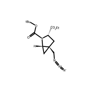 CCOC(=O)[C@@H]1C[C@]2(CN=[N+]=[N-])C[C@@H]2N1C(=O)OC(C)(C)C